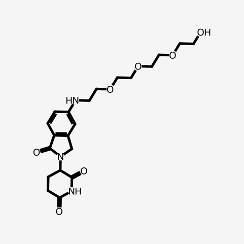 O=C1CCC(N2Cc3cc(NCCOCCOCCOCCO)ccc3C2=O)C(=O)N1